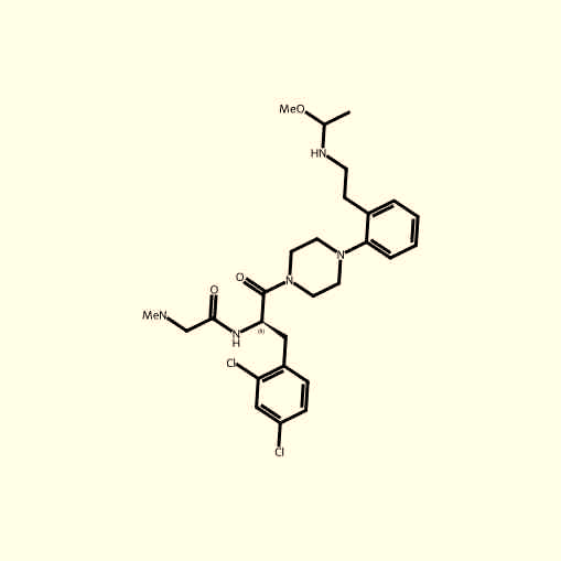 CNCC(=O)N[C@H](Cc1ccc(Cl)cc1Cl)C(=O)N1CCN(c2ccccc2CCNC(C)OC)CC1